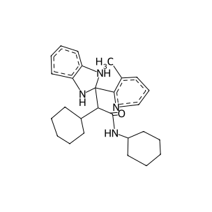 Cc1cccnc1C1(C(C(=O)NC2CCCCC2)C2CCCCC2)Nc2ccccc2N1